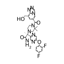 CC1(C)CN([C@](C)(C(N)=O)c2cnc(Oc3ccc(F)cc3F)cn2)CCN1C(=O)c1cc(CO)c2nncn2c1